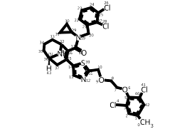 Cc1cc(Cl)c(OCCOCc2ncc(C3=C(C(=O)N(Cc4cccc(Cl)c4Cl)C4CC4)C4CCC[C@@H](C3)N4)s2)c(Cl)c1